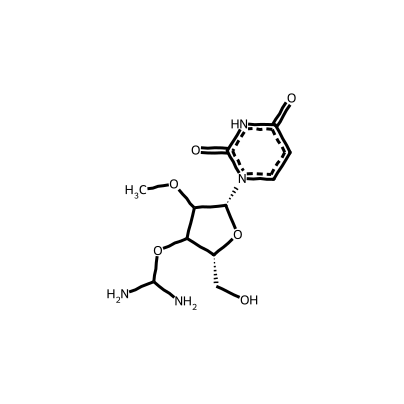 COC1C(OC(N)N)[C@@H](CO)O[C@H]1n1ccc(=O)[nH]c1=O